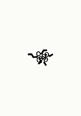 CCCC(=O)OC(CC)[Si](OCC)(OCC)OCC